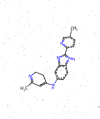 CC1=NCCC(Nc2ccc3[nH]c(-c4ccc(C)cn4)nc3c2)=C1